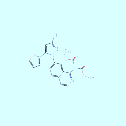 Cc1cc(-c2ccco2)n(-c2ccc3ccnc(N(C(=O)OC(C)(C)C)C(=O)OC(C)(C)C)c3c2)n1